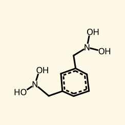 ON(O)Cc1cccc(CN(O)O)c1